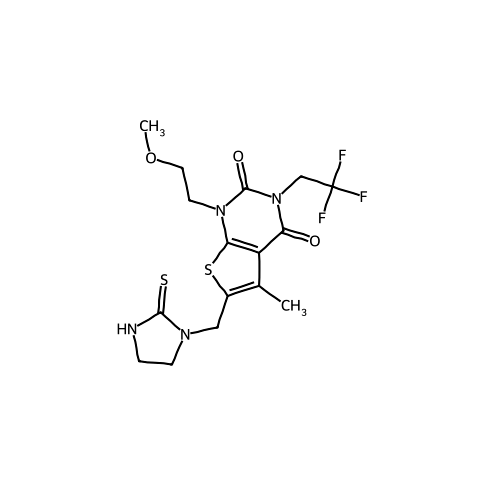 COCCn1c(=O)n(CC(F)(F)F)c(=O)c2c(C)c(CN3CCNC3=S)sc21